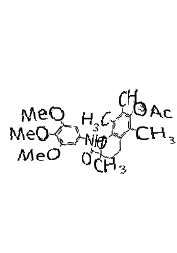 COc1cc(NC(=O)C2(C)CCc3c(C)c(OC(C)=O)c(C)c(C)c3O2)cc(OC)c1OC